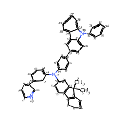 CC1(C)C2=C(CCC=C2)c2ccc(N(c3ccc(-c4ccc5c(c4)c4ccccc4n5-c4ccccc4)cc3)c3cccc(-c4cccnc4)c3)cc21